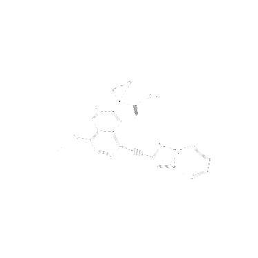 CNc1ncc(C#Cc2cc3ccccn3n2)c2cc(C3(C(N)=O)CC3)ncc12